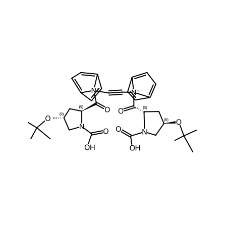 CC(C)(C)O[C@@H]1C[C@@H](C(=O)[N+]2(C#C[N+]3(C(=O)[C@@H]4C[C@@H](OC(C)(C)C)CN4C(=O)O)C4=CC=C3C=C4)C3=CC=C2C=C3)N(C(=O)O)C1